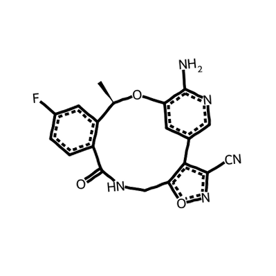 C[C@H]1Oc2cc(cnc2N)-c2c(C#N)noc2CNC(=O)c2ccc(F)cc21